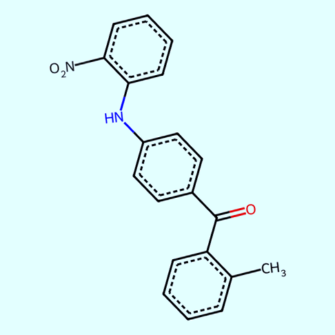 Cc1ccccc1C(=O)c1ccc(Nc2ccccc2[N+](=O)[O-])cc1